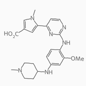 COc1cc(NC2CCN(C)CC2)ccc1Nc1nccc(-c2cc(C(=O)O)cn2C)n1